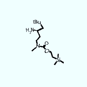 CN(CC[C@@H](N)CC(C)(C)C)C(=O)OCC[Si](C)(C)C